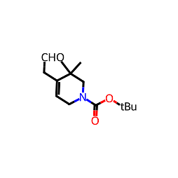 CC(C)(C)OC(=O)N1CC=C(CC=O)C(C)(C)C1